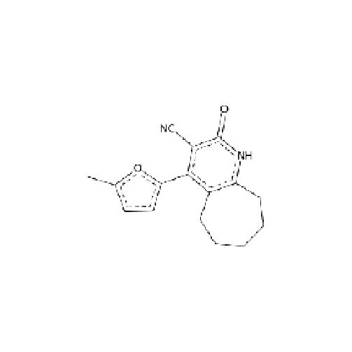 Cc1ccc(-c2c3c([nH]c(=O)c2C#N)CCCCC3)o1